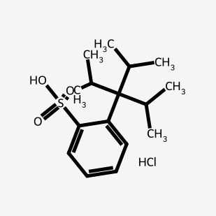 CC(C)C(c1ccccc1S(=O)(=O)O)(C(C)C)C(C)C.Cl